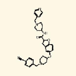 N#Cc1ccc(CN2CCC(Oc3ccc4c(c3)CC(C(=O)NC3CCN(Cc5ccncc5)CC3)O4)CC2)cc1